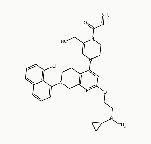 C=CC(=O)N1CCN(c2nc(OCCN(C)C3CC3)nc3c2CCN(c2cccc4cccc(Cl)c24)C3)C=C1CC#N